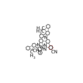 CC1(C)c2ccccc2-c2ccc3c(c21)c1ccccc1n3-c1ccc(-c2ccc(C#N)cc2)cc1-c1cccc(-n2c3ccccc3c3c4c(ccc32)-c2ccccc2C4(C)C)c1-c1nc(-c2ccccc2)nc(-c2ccccc2)n1